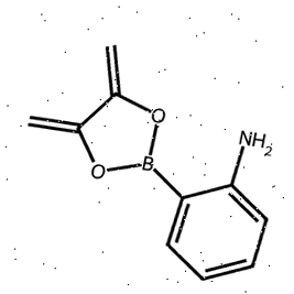 C=C1OB(c2ccccc2N)OC1=C